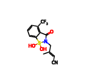 C/C(=C\C#N)CN1C(=O)c2c(C(F)(F)F)cccc2S1(O)O